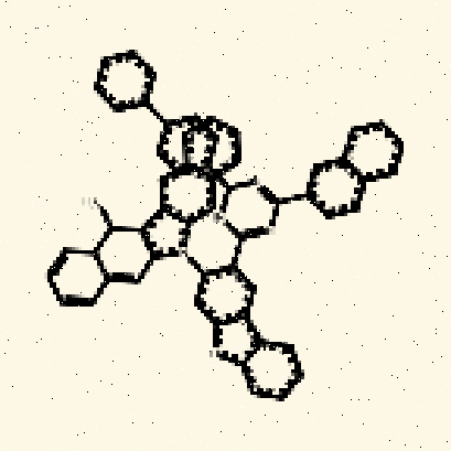 CC1c2c(n(-c3cc4oc5ccccc5c4cc3C3=NC(c4ccc5ccccc5c4)=NC(c4ccc(-c5ccccc5)cc4)N3)c3cc4ccccc4cc23)C=C2C=CC=CC21